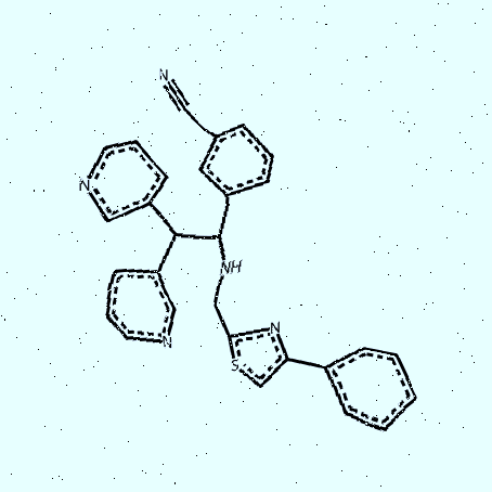 N#Cc1cccc(C(NCc2nc(-c3ccccc3)cs2)C(c2cccnc2)c2cccnc2)c1